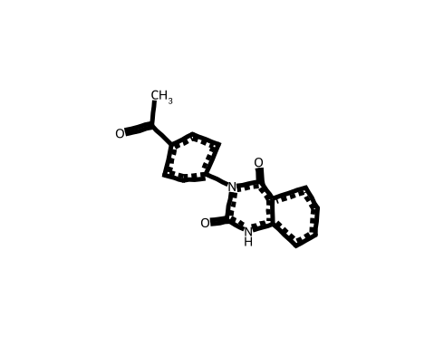 CC(=O)c1ccc(-n2c(=O)[nH]c3ccccc3c2=O)cc1